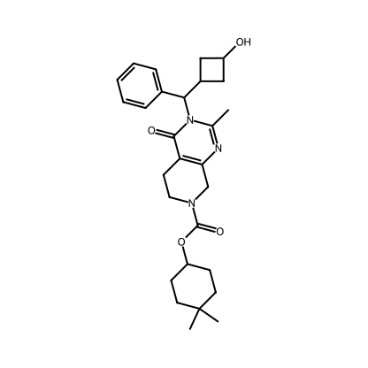 Cc1nc2c(c(=O)n1C(c1ccccc1)C1CC(O)C1)CCN(C(=O)OC1CCC(C)(C)CC1)C2